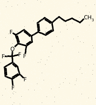 CCCCCc1ccc(-c2cc(F)c(OC(F)(F)c3ccc(F)c(F)c3)c(F)c2)cc1